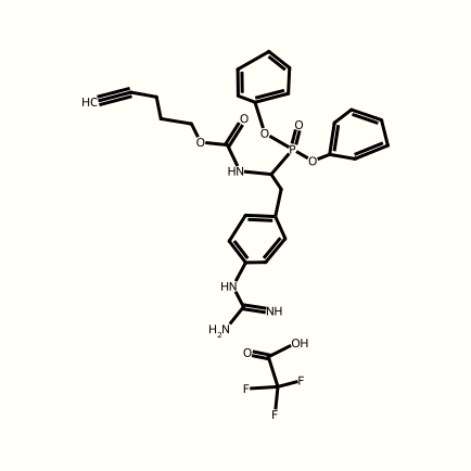 C#CCCCOC(=O)NC(Cc1ccc(NC(=N)N)cc1)P(=O)(Oc1ccccc1)Oc1ccccc1.O=C(O)C(F)(F)F